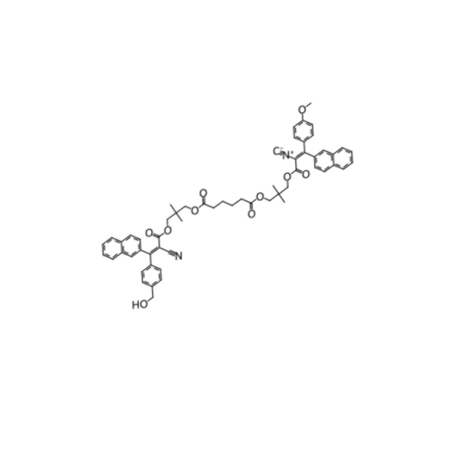 [C-]#[N+]C(C(=O)OCC(C)(C)COC(=O)CCCCC(=O)OCC(C)(C)COC(=O)C(C#N)=C(c1ccc(CO)cc1)c1ccc2ccccc2c1)=C(c1ccc(OC)cc1)c1ccc2ccccc2c1